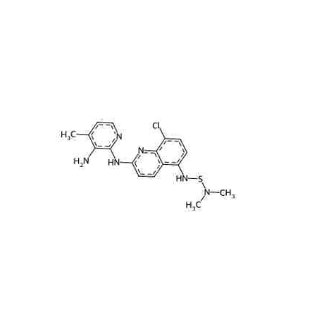 Cc1ccnc(Nc2ccc3c(NSN(C)C)ccc(Cl)c3n2)c1N